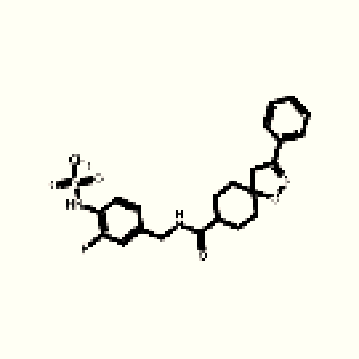 CS(=O)(=O)Nc1ccc(CNC(=O)C2CCC3(CC2)CC(c2ccccc2)=NO3)cc1F